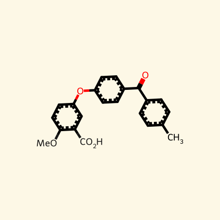 COc1ccc(Oc2ccc(C(=O)c3ccc(C)cc3)cc2)cc1C(=O)O